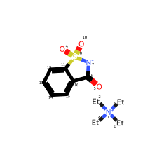 CC[N+](CC)(CC)CC.O=C1[N-]S(=O)(=O)c2ccccc21